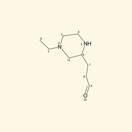 CCN1CCNC(CCC=O)C1